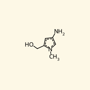 Cn1cc(N)cc1CO